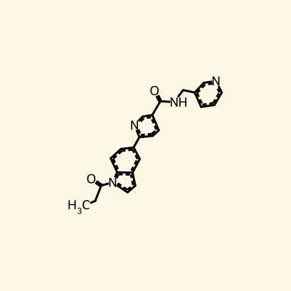 CCC(=O)n1ccc2cc(-c3ccc(C(=O)NCc4cccnc4)cn3)ccc21